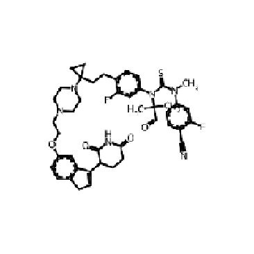 CN(C(=S)N(c1ccc(CCC2(N3CCN(CCOc4ccc5c(c4)C(C4CCC(=O)NC4=O)=CC5)CC3)CC2)c(F)c1)C(C)(C)C=O)c1ccc(C#N)c(F)c1